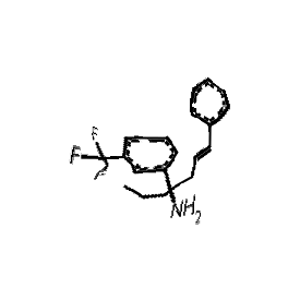 CCC(N)(CC=Cc1ccccc1)c1cccc(C(F)(F)F)c1